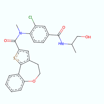 CC(CO)NC(=O)c1ccc(N(C)C(=O)c2cc3c(s2)-c2ccccc2OCC3)c(Cl)c1